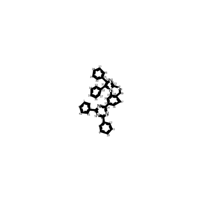 c1ccc(-c2nc(-c3ccccc3)nc(-c3ccc4c(c3)-n3c(nc(-c5ccccc5)c3-c3ccccc3)SC4)n2)cc1